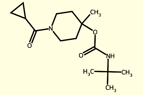 CC(C)(C)NC(=O)OC1(C)CCN(C(=O)C2CC2)CC1